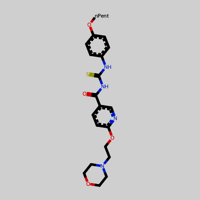 CCCCCOc1ccc(NC(=S)NC(=O)c2ccc(OCCN3CCOCC3)nc2)cc1